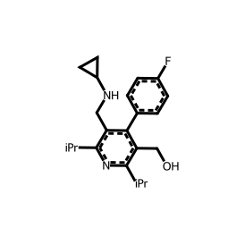 CC(C)c1nc(C(C)C)c(CNC2CC2)c(-c2ccc(F)cc2)c1CO